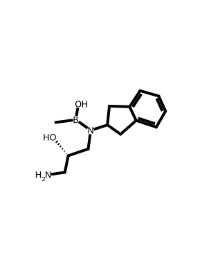 CB(O)N(C[C@@H](O)CN)C1Cc2ccccc2C1